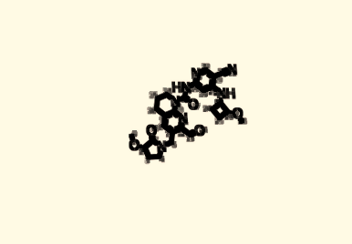 CO[C@@H]1CCN(Cc2cc3c(nc2C=O)N(C(=O)Nc2cc(N[C@@H]4CC[C@H]4OC)c(C#N)cn2)CCC3)C1=O